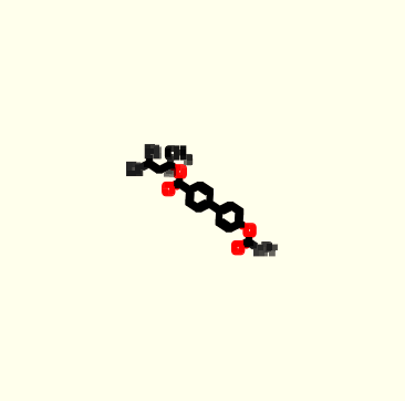 CCCC(=O)Oc1ccc(-c2ccc(C(=O)O[C@H](C)CC(CC)CC)cc2)cc1